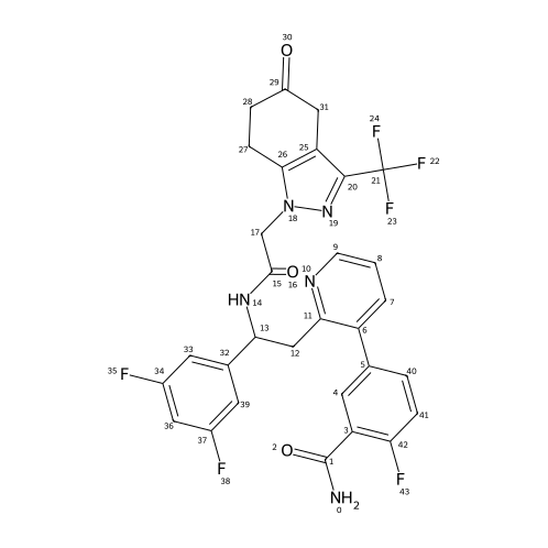 NC(=O)c1cc(-c2cccnc2CC(NC(=O)Cn2nc(C(F)(F)F)c3c2CCC(=O)C3)c2cc(F)cc(F)c2)ccc1F